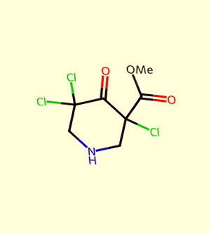 COC(=O)C1(Cl)CNCC(Cl)(Cl)C1=O